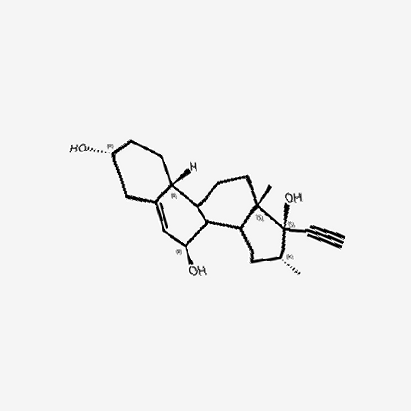 C#C[C@]1(O)[C@H](C)CC2C3C(CC[C@@]21C)[C@H]1CC[C@@H](O)CC1=C[C@@H]3O